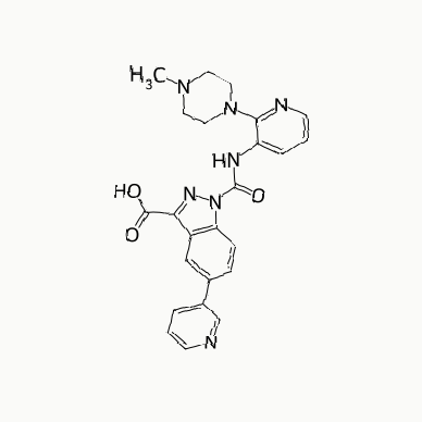 CN1CCN(c2ncccc2NC(=O)n2nc(C(=O)O)c3cc(-c4cccnc4)ccc32)CC1